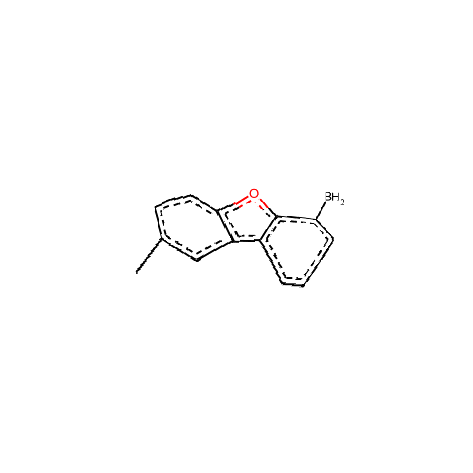 Bc1cccc2c1oc1ccc(C)cc12